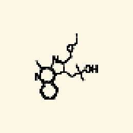 CCOCC1=Nc2c(C)nc3ccccc3c2C1CC(C)(C)O